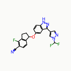 N#Cc1ccc2c(c1F)CCC2Oc1ccc2[nH]nc(-c3cnn(C(F)F)c3)c2c1